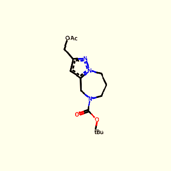 CC(=O)OCc1cc2n(n1)CCCN(C(=O)OC(C)(C)C)C2